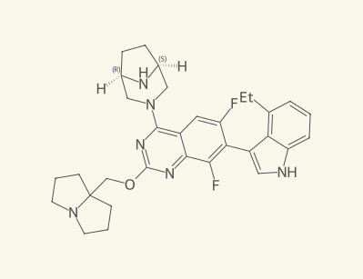 CCc1cccc2[nH]cc(-c3c(F)cc4c(N5C[C@H]6CC[C@@H](C5)N6)nc(OCC56CCCN5CCC6)nc4c3F)c12